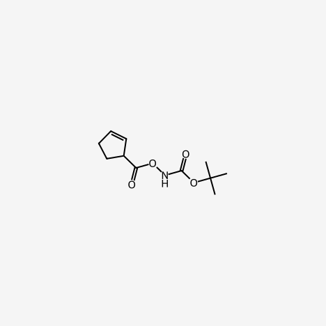 CC(C)(C)OC(=O)NOC(=O)C1C=CCC1